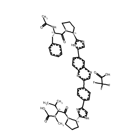 CC(=O)N[C@@H](Cc1ccccc1)C(=O)N1CCC[C@H]1c1ncc(-c2ccc3nc(-c4ccc(-c5c[nH]c([C@@H]6CCCN6C(=O)[C@H](C(C)C)N(C)C(=O)O)n5)cc4)cnc3c2)[nH]1.O=C(O)C(F)(F)F